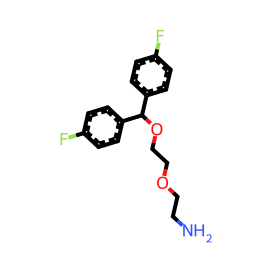 NCCOCCOC(c1ccc(F)cc1)c1ccc(F)cc1